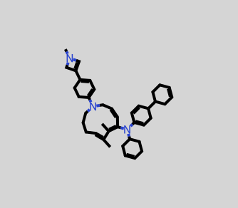 CC1=C(N(C2=CCC(C3CC=CCC3)C=C2)C2CC=CCC2)\C=C/CN(C2=CC=C(C3=CN(C)C3)CC2)CCC\C=C\1C